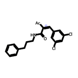 CC(=O)/C(=C/c1cc(Cl)cc(Cl)c1)C(=O)NCCCc1ccccc1